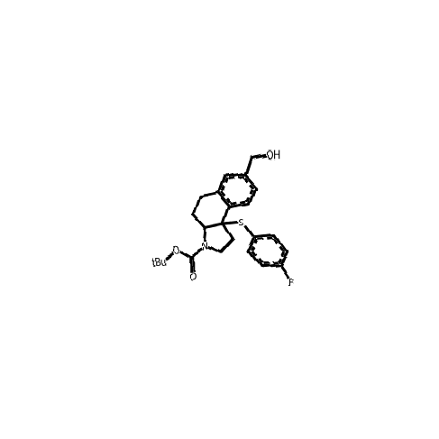 CC(C)(C)OC(=O)N1CCC2(Sc3ccc(F)cc3)c3ccc(CO)cc3CCC12